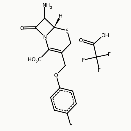 NC1C(=O)N2C(C(=O)O)=C(COc3ccc(F)cc3)CS[C@@H]12.O=C(O)C(F)(F)F